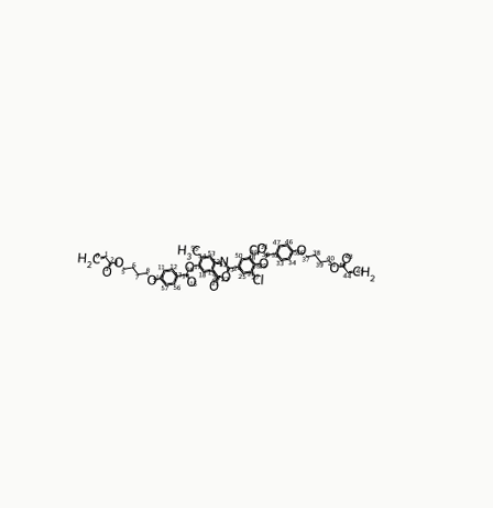 C=CC(=O)OCCCCOc1ccc(C(=O)Oc2cc3c(=O)oc(-c4cc(Cl)c(OC(=O)c5ccc(OCCCCOC(=O)C=C)cc5)c(Cl)c4)nc3cc2C)cc1